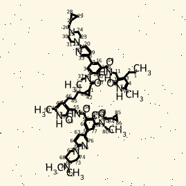 CCCc1cc(C)[nH]c(=O)c1CNC(=O)c1cc(-c2ccc(N3CCN(CC4CC4)CC3)nc2)cc(N(CC)C(=O)C2CC2CCCc2cc(C)[nH]c(=O)c2CNC(=O)c2cc(-c3ccc(N4CCC(N(C)C)CC4)nc3)cc(N(CC)C(=O)C3CC3)c2C)c1C